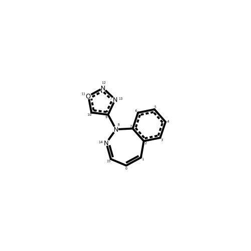 C1=Cc2ccccc2N(c2conn2)N=C1